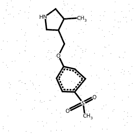 CC1CNCC1COc1ccc(S(C)(=O)=O)cc1